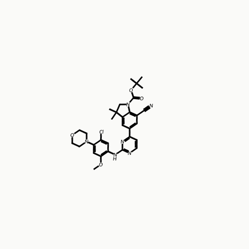 COc1cc(N2CCOCC2)c(Cl)cc1Nc1nccc(-c2cc(C#N)c3c(c2)C(C)(C)CN3C(=O)OC(C)(C)C)n1